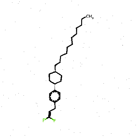 CCCCCCCCCCCC[C@H]1CC[C@H](c2ccc(CC=C(F)F)cc2)CC1